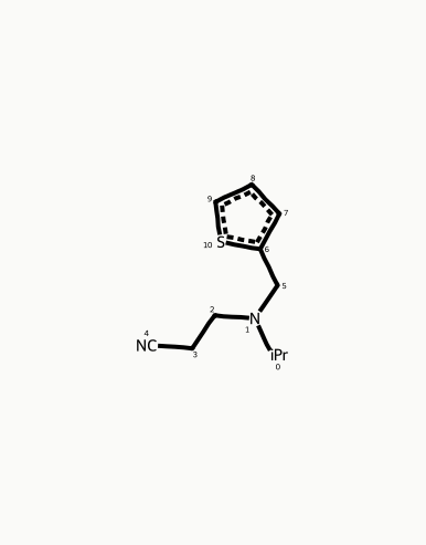 CC(C)N(CCC#N)Cc1cccs1